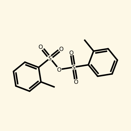 Cc1ccccc1S(=O)(=O)OS(=O)(=O)c1ccccc1C